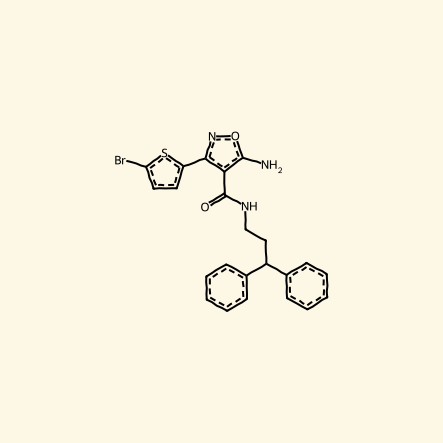 Nc1onc(-c2ccc(Br)s2)c1C(=O)NCCC(c1ccccc1)c1ccccc1